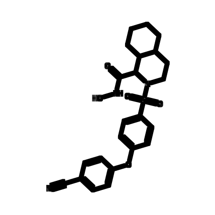 N#Cc1ccc(Oc2ccc(S(=O)(=O)N3CCC4CCCCC4C3C(=O)NO)cc2)cc1